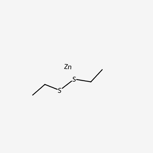 CCSSCC.[Zn]